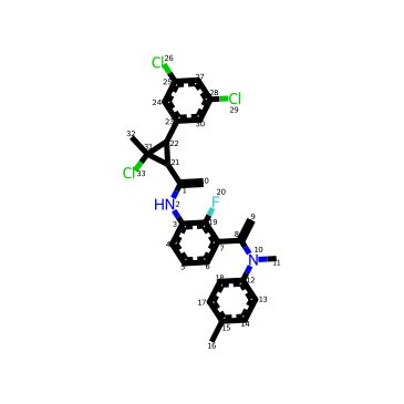 C=C(Nc1cccc(C(=C)N(C)c2ccc(C)cc2)c1F)C1C(c2cc(Cl)cc(Cl)c2)C1(C)Cl